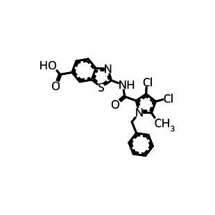 Cc1c(Cl)c(Cl)c(C(=O)Nc2nc3ccc(C(=O)O)cc3s2)n1Cc1ccccc1